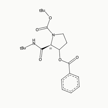 CC(C)(C)NC(=O)[C@@H]1C(OC(=O)c2ccccc2)CCN1C(=O)OC(C)(C)C